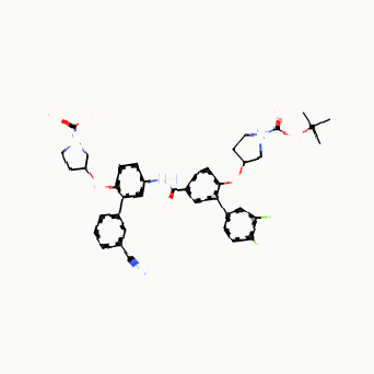 CC(C)(C)OC(=O)N1CCC(Oc2ccc(C(=O)Nc3ccc(OC4CCN(C(=O)O)C4)c(-c4cccc(C#N)c4)c3)cc2-c2ccc(F)c(F)c2)C1